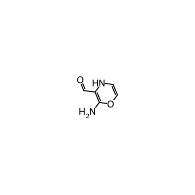 NC1=C(C=O)NC=CO1